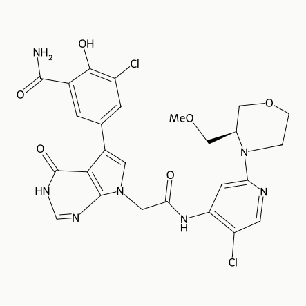 COC[C@H]1COCCN1c1cc(NC(=O)Cn2cc(-c3cc(Cl)c(O)c(C(N)=O)c3)c3c(=O)[nH]cnc32)c(Cl)cn1